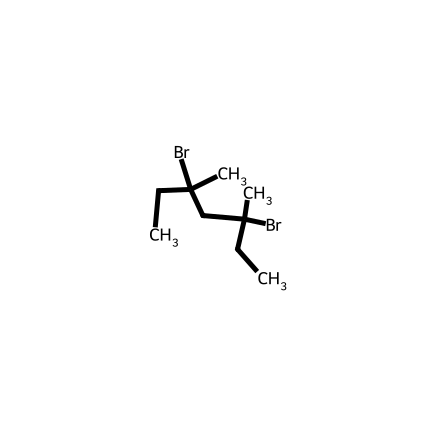 CCC(C)(Br)CC(C)(Br)CC